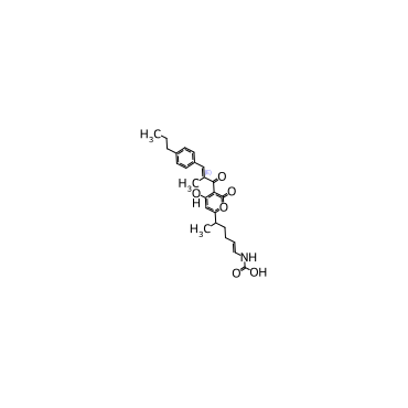 CCCc1ccc(/C=C(\C)C(=O)c2c(O)cc(C(C)CCC=CNC(=O)O)oc2=O)cc1